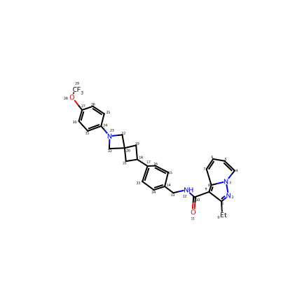 CCc1nn2ccccc2c1C(=O)NCc1ccc(C2CC3(C2)CN(c2ccc(OC(F)(F)F)cc2)C3)cc1